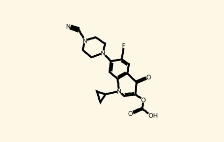 N#CN1CCN(c2cc3c(cc2F)c(=O)c(OC(=O)O)cn3C2CC2)CC1